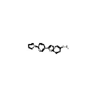 Nc1ccc2nc(-c3ccc(-n4cccc4)nc3)cn2c1